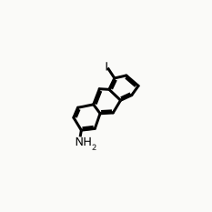 Nc1ccc2cc3c(I)cccc3cc2c1